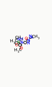 COc1cc(OC)c(F)c(N(CCNC(C)C)c2ccc3ncn(-c4cnn(C)c4)c(=O)c3c2)c1